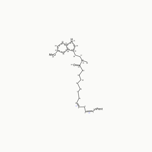 CCCCC/C=C\C/C=C\CCCCCCCC(=O)N(C)CCc1c[nH]c2ccc(OC)cc12